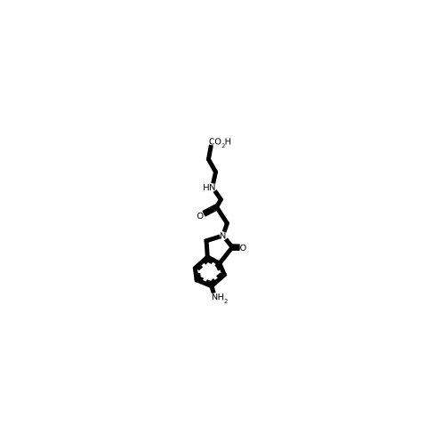 Nc1ccc2c(c1)C(=O)N(CC(=O)CNCCC(=O)O)C2